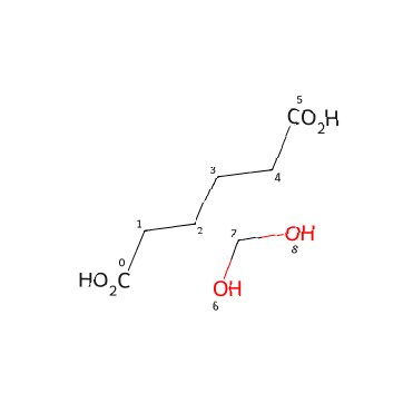 O=C(O)CCCCC(=O)O.OCO